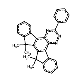 CC1(C)c2ccccc2-c2c1c1c(c3nc(-c4ccccc4)nnc23)-c2ccccc2C1(C)C